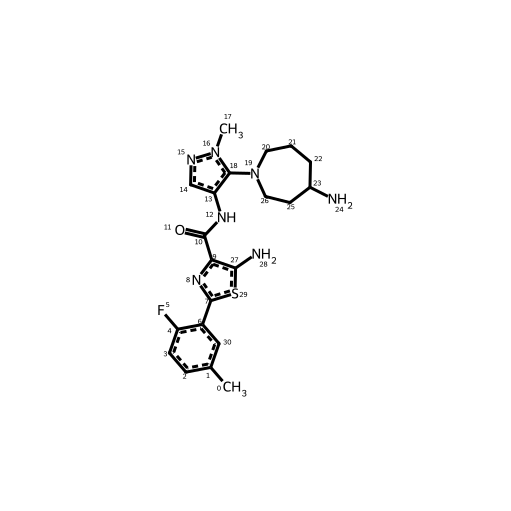 Cc1ccc(F)c(-c2nc(C(=O)Nc3cnn(C)c3N3CCCC(N)CC3)c(N)s2)c1